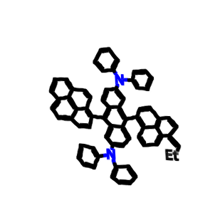 CC/C=c1/ccc2ccc(-c3c4cc(N(c5ccccc5)c5ccccc5)ccc4c(-c4ccc5ccc6cccc7ccc4c5c67)c4cc(N(c5ccccc5)c5ccccc5)ccc34)c3cccc1c23